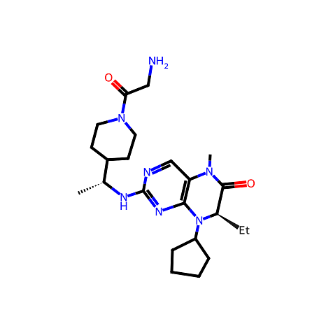 CC[C@@H]1C(=O)N(C)c2cnc(N[C@H](C)C3CCN(C(=O)CN)CC3)nc2N1C1CCCC1